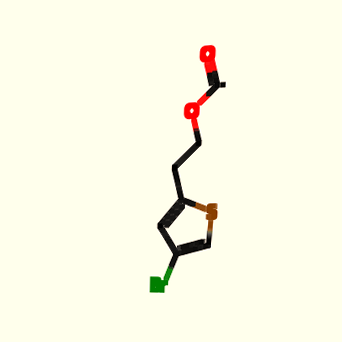 O=[C]OCCc1cc(Br)cs1